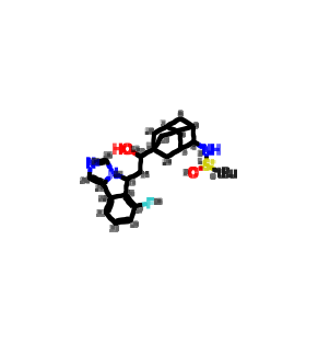 CC(C)(C)[S+]([O-])NC1C2CC3CC1CC(C(O)CC1c4c(F)cccc4-c4cncn41)(C3)C2